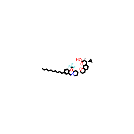 CCCCCCCCCCc1ccc(OC(F)(F)F)c(CN2CCC([C@H]3CCc4ccc([C@H](C5CC5)[C@H](C)C(=O)O)cc4O3)CC2)c1